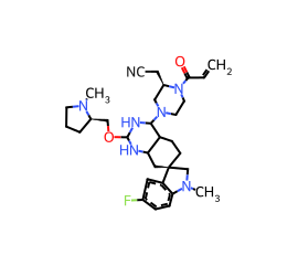 C=CC(=O)N1CCN(C2NC(OC[C@H]3CCCN3C)NC3C[C@@]4(CCC32)CN(C)c2ccc(F)cc24)C[C@H]1CC#N